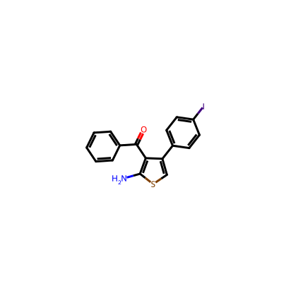 Nc1scc(-c2ccc(I)cc2)c1C(=O)c1ccccc1